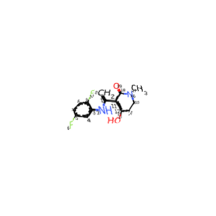 C=C(Nc1cc(F)ccc1F)C1=C(O)CCN(C)C1=O